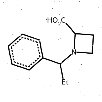 CCC(c1ccccc1)N1CCC1C(=O)O